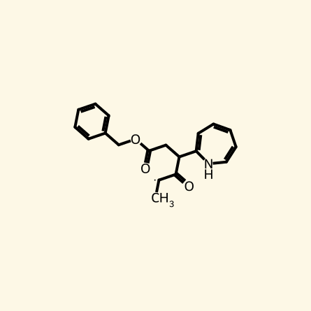 C[CH]C(=O)C(CC(=O)OCc1ccccc1)C1=CC=CC=CN1